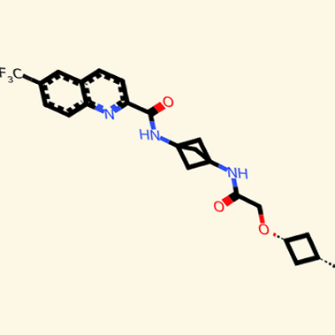 O=C(CO[C@H]1C[C@@H](C(F)(F)F)C1)NC12CC(NC(=O)c3ccc4cc(C(F)(F)F)ccc4n3)(C1)C2